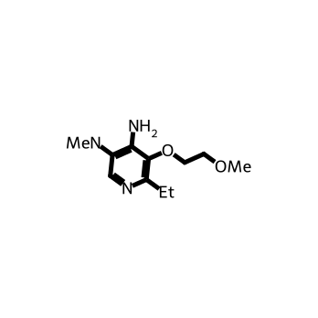 CCc1ncc(NC)c(N)c1OCCOC